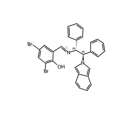 Oc1c(Br)cc(Br)cc1/C=N/[C@H](c1ccccc1)[C@@H](c1ccccc1)n1cc2ccccc2c1